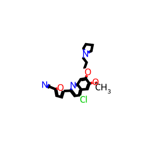 COc1cc2c(Cl)cc(-c3ccc(C#N)o3)nc2cc1OCCCN1CCCC1